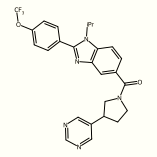 CC(C)n1c(-c2ccc(OC(F)(F)F)cc2)nc2cc(C(=O)N3CCC(c4cncnc4)C3)ccc21